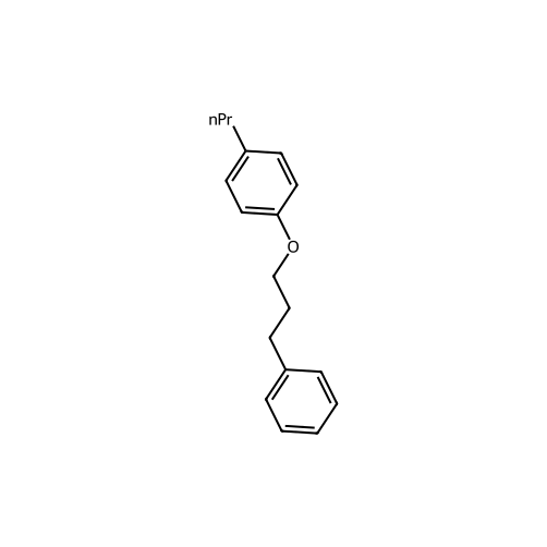 [CH2]CCc1ccc(OCCCc2ccccc2)cc1